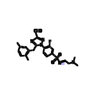 Cc1ccc(C)c(Cc2nc(C=O)nn2-c2ccc(S(=O)(=O)/N=C/CN(C)C)cc2F)c1